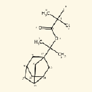 CCC(C)(I)C(=O)OC(C)(C)C12CC3CC(C1)C(C3)C2